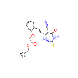 CCOC(=O)COc1ccccc1/C=C/c1[nH]c(=S)[nH]c(=O)c1C#N